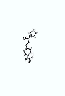 O=C(CCc1ccc(C(F)(F)F)cc1)N1CCCC1